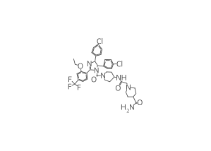 CCOc1cc(C(F)(F)F)ccc1C1=NC(c2ccc(Cl)cc2)C(c2ccc(Cl)cc2)N1C(=O)N1CCC(NC(=O)CN2CCC(C(N)=O)CC2)CC1